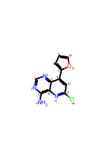 Nc1ncnc2c(-c3ccco3)cc(Cl)nc12